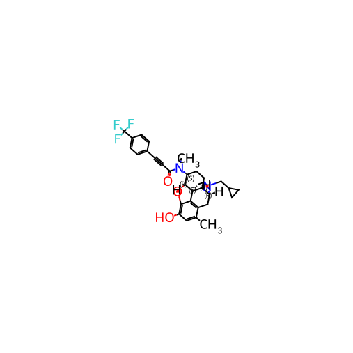 Cc1cc(O)c2c3c1C[C@@H]1[C@@H]4CC[C@H](N(C)C(=O)C#Cc5ccc(C(F)(F)F)cc5)[C@H](O2)[C@]34CCN1CC1CC1